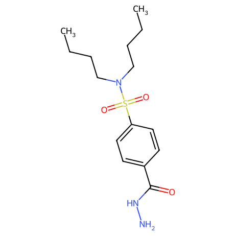 CCCCN(CCCC)S(=O)(=O)c1ccc(C(=O)NN)cc1